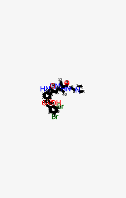 CCN(CC)CCNC(=O)c1c(C)[nH]c(/C=C2\C(=O)Nc3ccc(S(=O)(=O)Cc4cc(Br)cc(Br)c4O)cc32)c1C